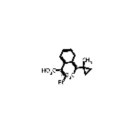 CCC=C(C(=O)O)C1=CC=CCC1=C(C(=O)O)C1(C)CC1